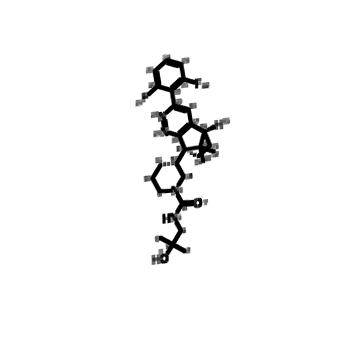 CC(C)(O)CNC(=O)N1CCC[C@H]([C@@]23CC[C@@H](c4cc(-c5c(F)cccc5F)nnc42)C3(C)C)C1